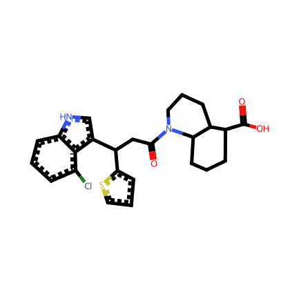 O=C(O)C1CCCC2C1CCCN2C(=O)CC(c1cccs1)c1c[nH]c2cccc(Cl)c12